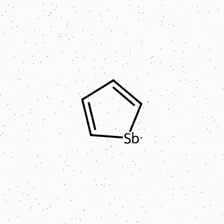 C1=[CH][Sb][CH]=C1